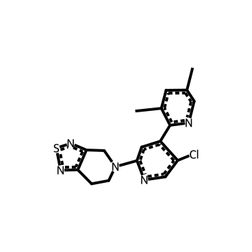 Cc1cnc(-c2cc(N3CCc4nsnc4C3)ncc2Cl)c(C)c1